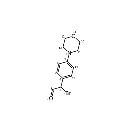 O=CC(Br)c1ccc(N2CCOCC2)cc1